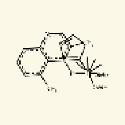 C[O][Ti]([CH3])([CH3])([CH3])([CH3])([CH3])([O]C)([O]c1c(C(F)(F)F)cnc2cccc(C(F)(F)F)c12)[C]1=CC=CC1